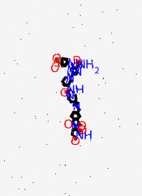 CS(=O)(=O)c1ccc(Nc2nc(N3CCC[C@@H](NC(=O)N4CCC5(CC4)CN(Cc4ccc6c(c4)C(=O)N(C4CCC(=O)NC4=O)C6=O)C5)C3)cnc2C(N)=O)cc1